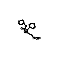 O=P(O)(Oc1ccccc1)C(CC=NO)c1ccccc1